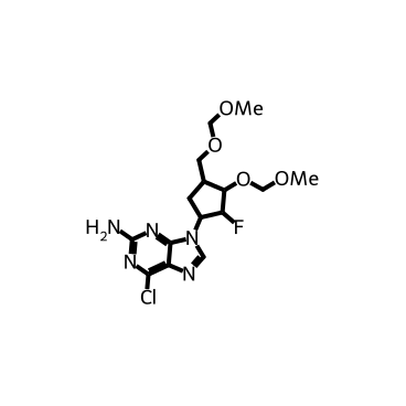 COCOCC1CC(n2cnc3c(Cl)nc(N)nc32)C(F)C1OCOC